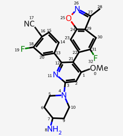 COc1cc(N2CCC(N)CC2)nc(-c2ccc(C#N)c(F)c2)c1-c1cc2onc(C)c2cc1F